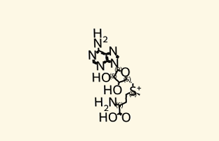 C[S@@+](CC[C@H](N)C(=O)O)C[C@H]1O[C@@H](n2cnc3c(N)ncnc32)[C@@H](O)C1O